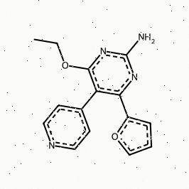 CCOc1nc(N)nc(-c2ccco2)c1-c1ccncc1